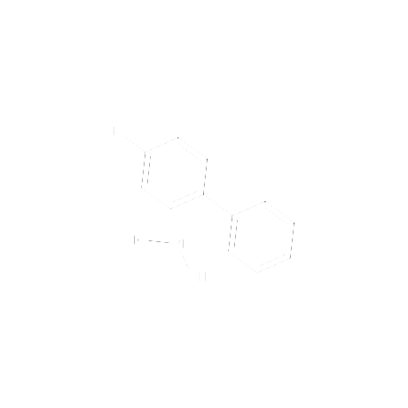 Fc1ccc(-c2ccccc2)cc1.OBO